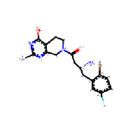 N[C@@H](CC(=O)N1CCc2c(O)nc(C(F)(F)F)nc2C1)Cc1cc(F)ccc1Br